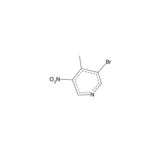 Cc1c(Br)cncc1[N+](=O)[O-]